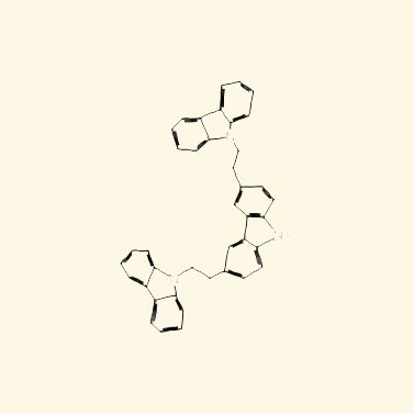 c1ccc2c(c1)c1ccccc1n2CCc1ccc2[nH]c3ccc(CCn4c5ccccc5c5ccccc54)cc3c2c1